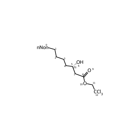 CCCCCCCCCCCCC[C@H](O)CC(=O)OCC(Cl)(Cl)Cl